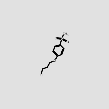 CS(=O)(=O)c1ccc(OCCCCl)cc1